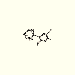 Cc1cc(F)c(-c2ncccn2)cc1F